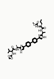 CCC[C@H](NC(=O)OC)C(=O)NC(C)c1nc(-c2ccc(-c3ccc(-c4c[nH]c([C@H](C)NC(=O)[C@@H](NC5OCO5)C(C)C)n4)cc3)cc2)c[nH]1